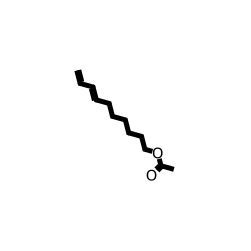 C=C/C=C/CCCCCCOC(C)=O